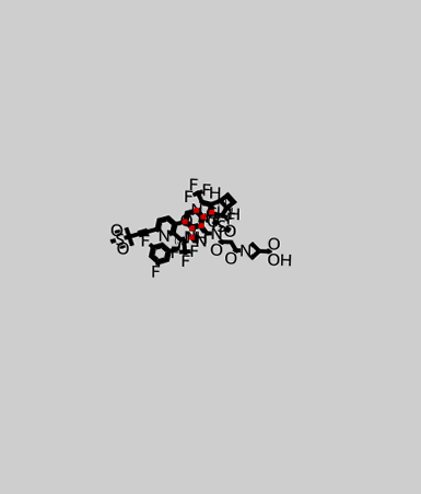 CC(C)(C#Cc1ccc(-c2ccc(Cl)c3c(N(C(=O)CC(=O)N4CC(C(=O)O)C4)S(C)(=O)=O)nn(CC(F)(F)F)c23)c([C@H](Cc2cc(F)cc(F)c2)NC(=O)Cn2nc(C(F)(F)F)c3c2C(F)(F)[C@@H]2C=C[C@H]32)n1)S(C)(=O)=O